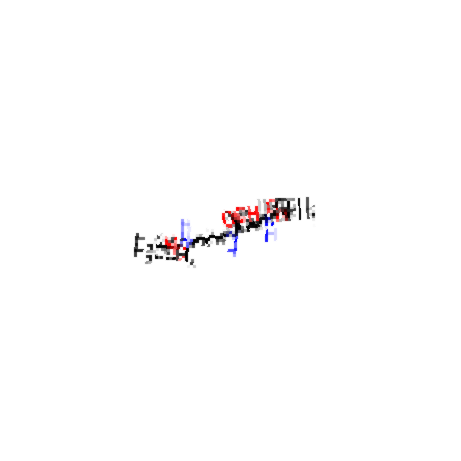 CC(C)(C)OC(=O)NCCCCCCN[C@@H](CCCCNC(=O)OC(C)(C)C)C(=O)O